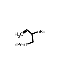 C=CC(CCCC)CCCCCC